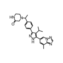 Cc1cc(-c2[nH]nc(-c3ccc(C(C)N4CCNC(=O)C4)cc3)c2C(C)C)cn2ncnc12